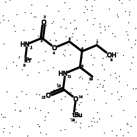 CC(C)NC(=O)OCC(CO)C(C)NC(=O)OC(C)(C)C